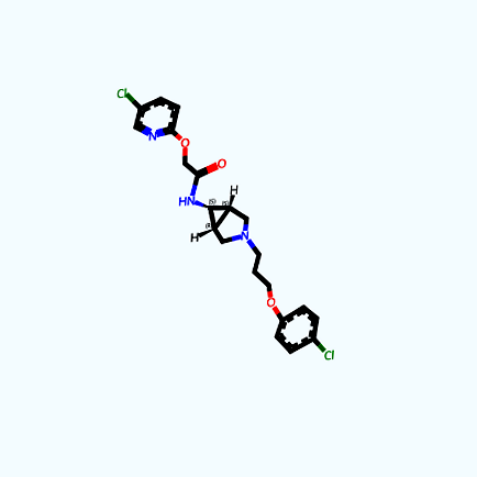 O=C(COc1ccc(Cl)cn1)N[C@H]1[C@@H]2CN(CCCOc3ccc(Cl)cc3)C[C@@H]21